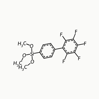 CO[Si](OC)(OC)c1ccc(-c2c(F)c(F)c(F)c(F)c2F)cc1